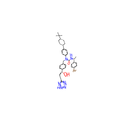 CC(NC(=O)N(Cc1ccc(C(O)Cc2nn[nH]n2)cc1)c1ccc(C2CCC(C(C)(C)C)CC2)cc1)c1ccc(Br)cc1